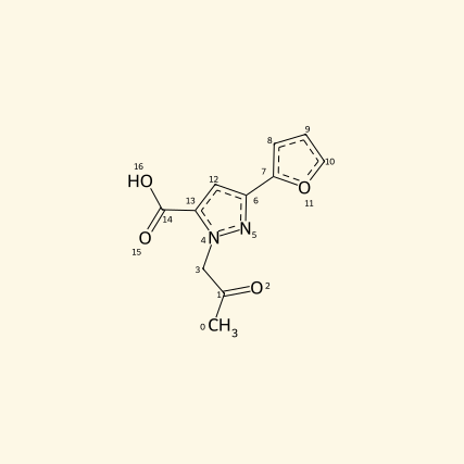 CC(=O)Cn1nc(-c2ccco2)cc1C(=O)O